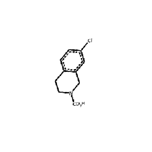 O=C(O)N1CCc2ccc(Cl)cc2C1